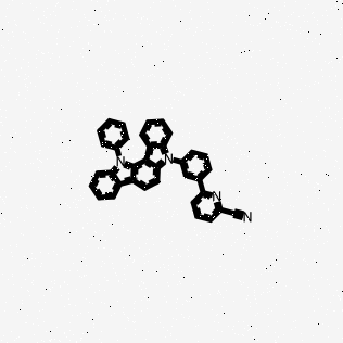 N#Cc1cccc(-c2cccc(-n3c4ccccc4c4c3ccc3c5ccccc5n(-c5ccccc5)c34)c2)n1